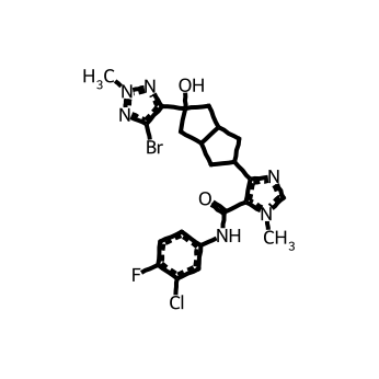 Cn1nc(Br)c(C2(O)CC3CC(c4ncn(C)c4C(=O)Nc4ccc(F)c(Cl)c4)CC3C2)n1